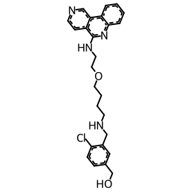 OCc1ccc(Cl)c(CNCCCCOCCNc2nc3ccccc3c3cnccc23)c1